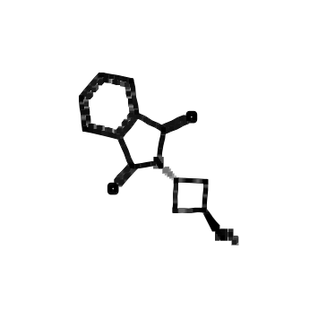 N[C@H]1C[C@H](N2C(=O)c3ccccc3C2=O)C1